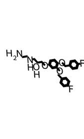 NCCNCC(O)COc1ccc(OCc2ccc(F)cc2)c(OCc2ccc(F)cc2)c1